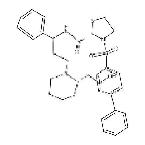 O=C(NC(CCN1CCCC[C@H]1CCO)c1ccccc1)[C@@H]1SCCN1S(=O)(=O)c1ccc(-c2ccccc2)cc1